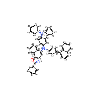 c1ccc(-c2nc3cc(N(c4ccc(-c5cccc6ccccc56)cc4)c4ccc5c(c4)c4ccccc4n5-c4ccccc4)c4ccccc4c3o2)cc1